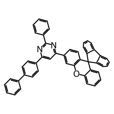 c1ccc(-c2ccc(-c3cc(-c4ccc5c(c4)Oc4ccccc4C54c5ccccc5-c5ccccc54)nc(-c4ccccc4)n3)cc2)cc1